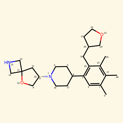 Cc1cc(C2CCN([C@@H]3COC4(CNC4)C3)CC2)c(CC2CCOC2)c(C)c1C